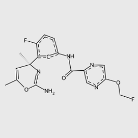 CC1=C[C@@](C)(c2cc(NC(=O)c3cnc(OCF)cn3)ccc2F)N=C(N)O1